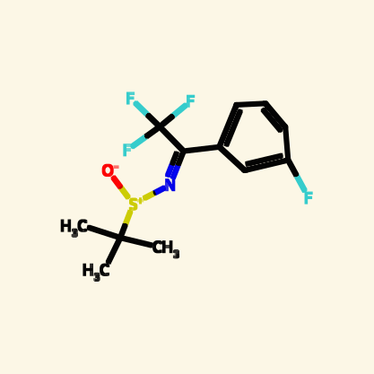 CC(C)(C)[S+]([O-])N=C(c1cccc(F)c1)C(F)(F)F